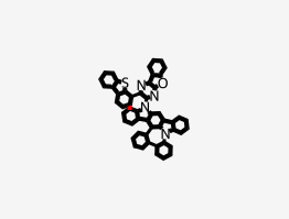 c1ccc2c(c1)-c1ccccc1-n1c3ccccc3c3cc4c(c-2c31)c1ccccc1n4-c1nc2oc3ccccc3c2nc1-c1cccc2c1sc1ccccc12